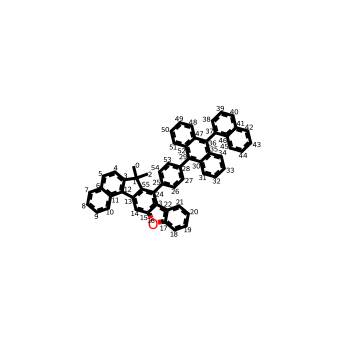 CC1(C)c2ccc3ccccc3c2-c2cc3oc4ccccc4c3c(-c3ccc(-c4c5ccccc5c(-c5cccc6ccccc56)c5ccccc45)cc3)c21